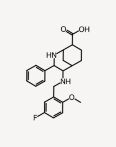 COc1ccc(F)cc1CNC1C2CCC(C(=O)O)C(C2)NC1c1ccccc1